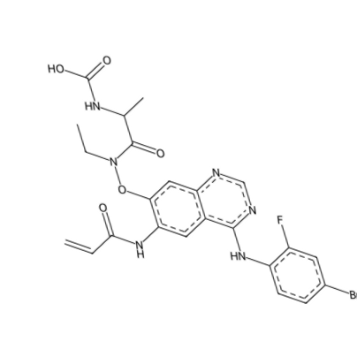 C=CC(=O)Nc1cc2c(Nc3ccc(Br)cc3F)ncnc2cc1ON(CC)C(=O)C(C)NC(=O)O